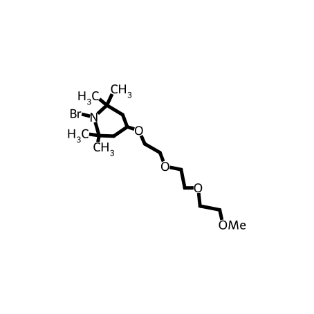 COCCOCCOCCOC1CC(C)(C)N(Br)C(C)(C)C1